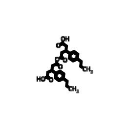 CCCc1ccc(C(CC(=O)O)CC(=O)OC(=O)CC(CC(=O)O)c2ccc(CCC)cc2)cc1